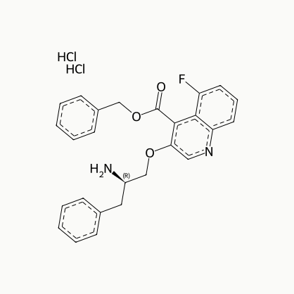 Cl.Cl.N[C@@H](COc1cnc2cccc(F)c2c1C(=O)OCc1ccccc1)Cc1ccccc1